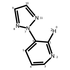 [2H]c1ncccc1-n1nccn1